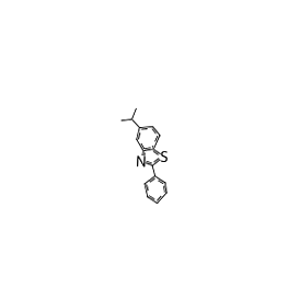 CC(C)c1ccc2sc(-c3ccccc3)nc2c1